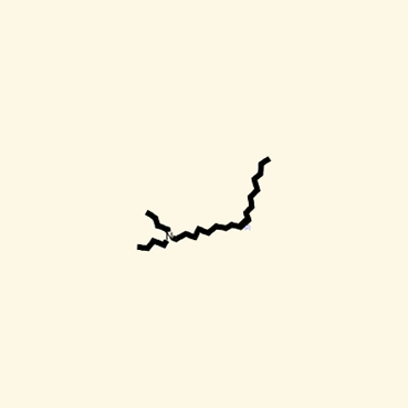 CCCCCCCC/C=C\CCCCCCCCN(CCCC)CCCC